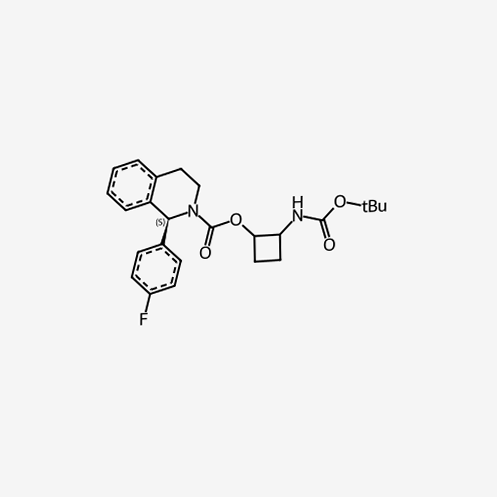 CC(C)(C)OC(=O)NC1CCC1OC(=O)N1CCc2ccccc2[C@@H]1c1ccc(F)cc1